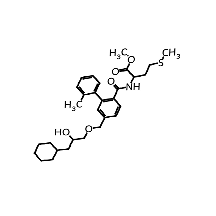 COC(=O)C(CCSC)NC(=O)c1ccc(COCC(O)CC2CCCCC2)cc1-c1ccccc1C